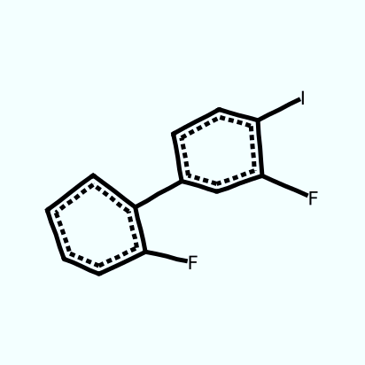 Fc1cc(-c2ccccc2F)ccc1I